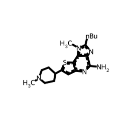 CCCCc1nc2c(N)nc3cc(C4CCN(C)CC4)sc3c2n1C